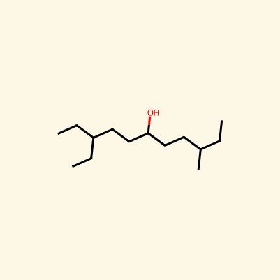 CCC(C)CCC(O)CCC(CC)CC